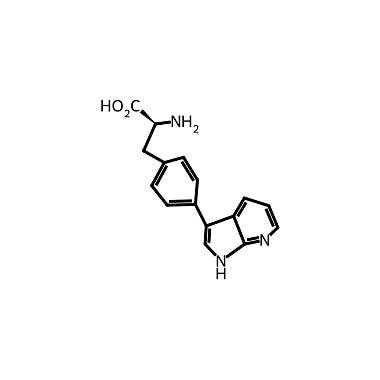 N[C@@H](Cc1ccc(-c2c[nH]c3ncccc23)cc1)C(=O)O